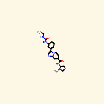 Cn1cncc1NC(=O)c1ccn2c(-c3cccc(NC(=O)NCC(F)(F)F)c3)cnc2c1